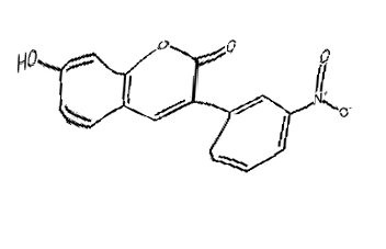 O=c1oc2cc(O)ccc2cc1-c1cccc([N+](=O)[O-])c1